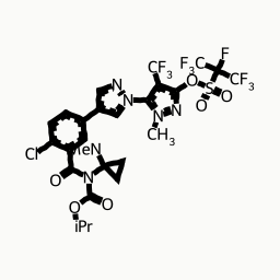 CNC1(N(C(=O)OC(C)C)C(=O)c2cc(-c3cnn(-c4c(C(F)(F)F)c(OS(=O)(=O)C(F)(C(F)(F)F)C(F)(F)F)nn4C)c3)ccc2Cl)CC1